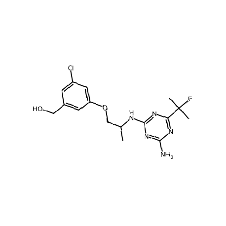 CC(COc1cc(Cl)cc(CO)c1)Nc1nc(N)nc(C(C)(C)F)n1